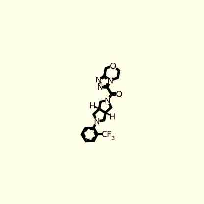 O=C(c1nnc2n1CCOC2)N1C[C@@H]2CN(c3ccccc3C(F)(F)F)C[C@@H]2C1